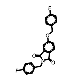 O=C1c2ccc(OCc3ccc(F)cc3)cc2C(=O)N1Cc1ccc(F)cc1